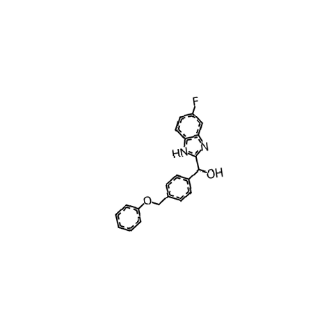 OC(c1ccc(COc2ccccc2)cc1)c1nc2cc(F)ccc2[nH]1